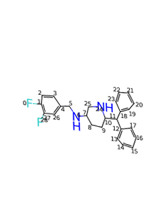 Fc1ccc(CNC2CCC(C(c3ccccc3)c3ccccc3)NC2)cc1F